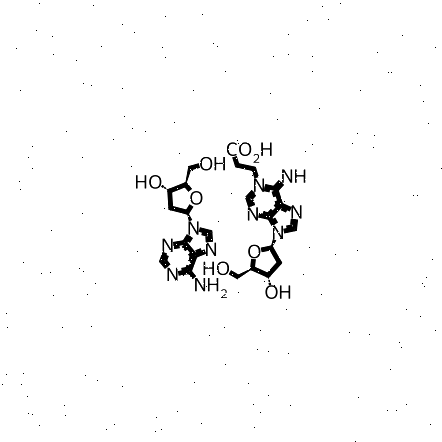 N=c1c2ncn([C@H]3C[C@H](O)[C@@H](CO)O3)c2ncn1CCC(=O)O.Nc1ncnc2c1ncn2[C@H]1C[C@H](O)[C@@H](CO)O1